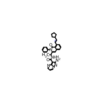 C[C@H](NC(=O)c1c(N)nn2cccnc12)c1cc2cccc(/C=C/C3CCCC3)c2c(=O)n1-c1ccccc1